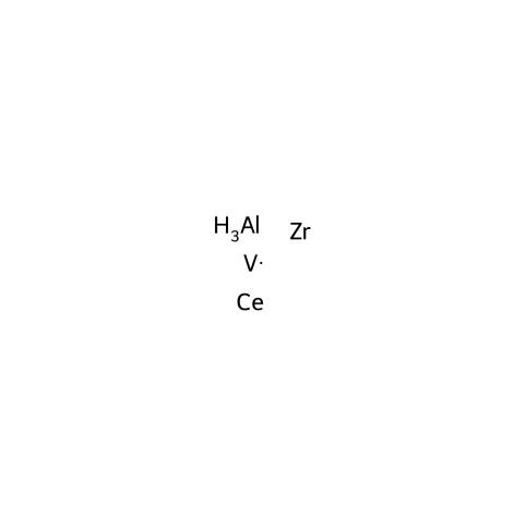 [AlH3].[Ce].[V].[Zr]